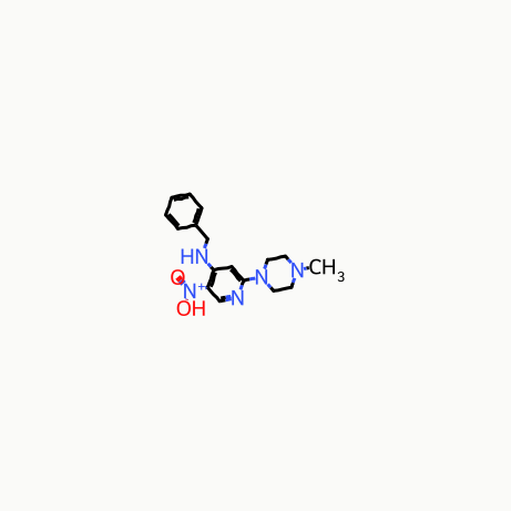 CN1CCN(c2cc(NCc3ccccc3)c([N+](=O)O)cn2)CC1